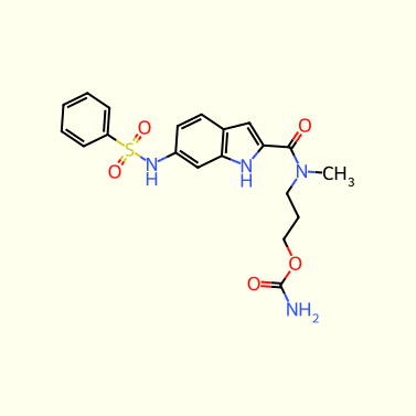 CN(CCCOC(N)=O)C(=O)c1cc2ccc(NS(=O)(=O)c3ccccc3)cc2[nH]1